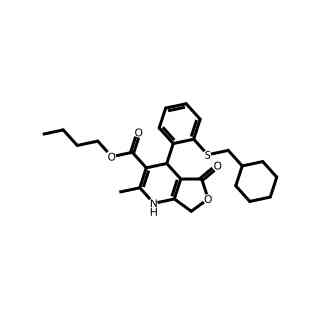 CCCCOC(=O)C1=C(C)NC2=C(C(=O)OC2)C1c1ccccc1SCC1CCCCC1